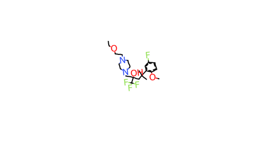 CCOCCN1CCN(CC(O)(CC(C)(C)c2cc(F)ccc2OC)C(F)(F)F)CC1